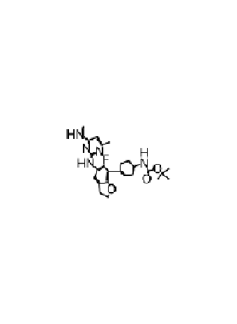 CNc1cc(C)nc(Nc2cc3c(c(C4=CCC(NC(=O)OC(C)(C)C)CC4)c2F)OCC3)n1